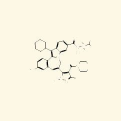 COc1ccc2c(c1)C=C(c1c(C(=O)N3CCOCC3)c(C)nn1C)Cn1c-2c(C2CCCCC2)c2ccc(C(=O)NS(=O)(=O)C(C)C)cc21